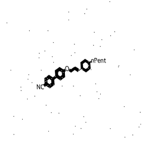 CCCCC[C@H]1CC[C@H](/C=C/COc2ccc(-c3ccc(C#N)cc3)cc2)CC1